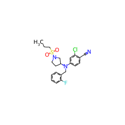 CCCS(=O)(=O)N1CC[C@H](N(Cc2ccccc2F)c2ccc(C#N)c(Cl)c2)C1